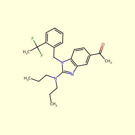 CCCN(CCC)c1nc2cc(C(C)=O)ccc2n1Cc1ccccc1C(C)(F)F